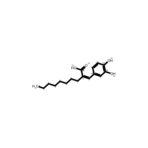 CCCCCCCCC(=Cc1ccc(O)c(O)c1)C(=O)O